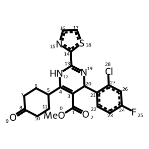 COC(=O)C1=C(C2CCC(=O)CC2)NC(c2nccs2)=NC1c1ccc(F)cc1Cl